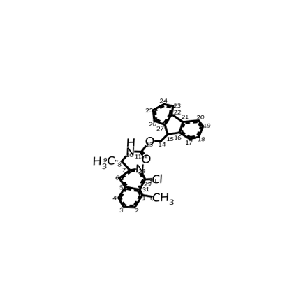 Cc1cccc2cc([C@H](C)NC(=O)OCC3c4ccccc4-c4ccccc43)nc(Cl)c12